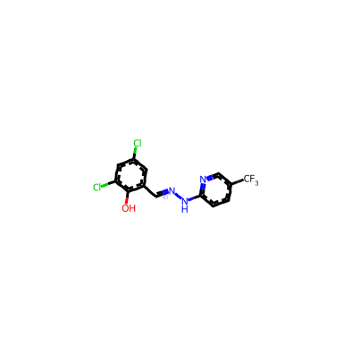 Oc1c(Cl)cc(Cl)cc1/C=N/Nc1ccc(C(F)(F)F)cn1